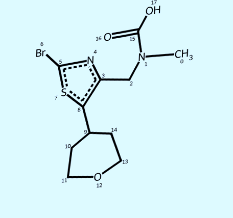 CN(Cc1nc(Br)sc1C1CCOCC1)C(=O)O